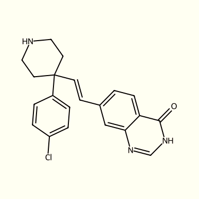 O=c1[nH]cnc2cc(C=CC3(c4ccc(Cl)cc4)CCNCC3)ccc12